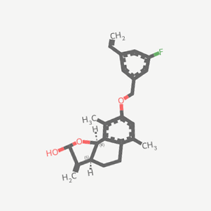 C=Cc1cc(F)cc(COc2cc(C)c3c(c2C)[C@@H]2OC(O)C(=C)[C@@H]2CC3)c1